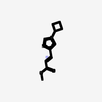 COC(=O)/C=C/c1cn(C2CCC2)cn1